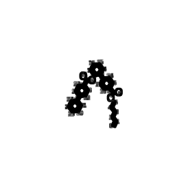 C=CCCCCOC(=O)c1ccc(-c2ccccc2OC(=O)c2ccc(-c3ccccc3)cc2)cc1